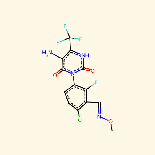 CON=Cc1c(Cl)ccc(-n2c(=O)[nH]c(C(F)(F)F)c(N)c2=O)c1F